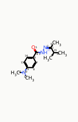 C/C(=N/NC(=O)c1ccc(N(C)C)cc1)C(C)C